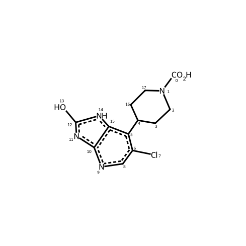 O=C(O)N1CCC(c2c(Cl)cnc3nc(O)[nH]c23)CC1